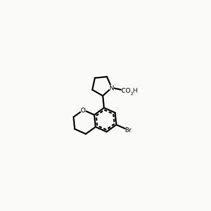 O=C(O)N1CCCC1c1cc(Br)cc2c1OCCC2